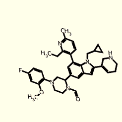 CCc1nc(C)ccc1-c1cc(C2CN(c3ccc(F)cc3OC)CCN2C=O)cc2cc(C3=CCCNC3)n(CC3CC3)c12